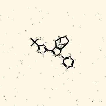 CCC(C)(C)c1noc(-c2nn(-c3cnccn3)c3c2CC2CCC3O2)n1